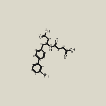 Nc1cccc(-c2ccc(CC(CC(=O)O)NC(=O)CCC(=O)O)cc2)c1